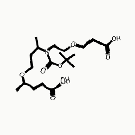 CC(CCC(=O)O)OCCC(C)N(CCOCCC(=O)O)C(=O)OC(C)(C)C